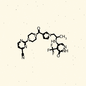 CC(Cn1ccc(C(=O)N2CCN(c3nccc(C#N)n3)CC2)c1)Nc1cn[nH]c(=O)c1C(F)(F)F